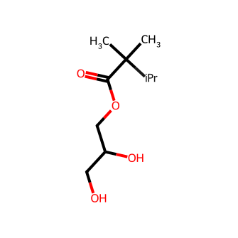 CC(C)C(C)(C)C(=O)OCC(O)CO